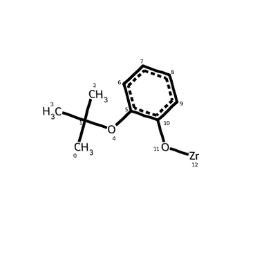 CC(C)(C)Oc1ccccc1[O][Zr]